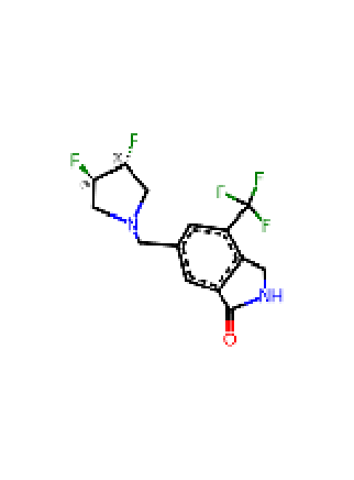 O=C1NCc2c1cc(CN1C[C@@H](F)[C@H](F)C1)cc2C(F)(F)F